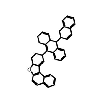 C1=CC2C(=C(C3C=C4c5c(ccc6ccccc56)OC4CC3)c3ccccc3C2C2C=Cc3ccccc3C2)CC1